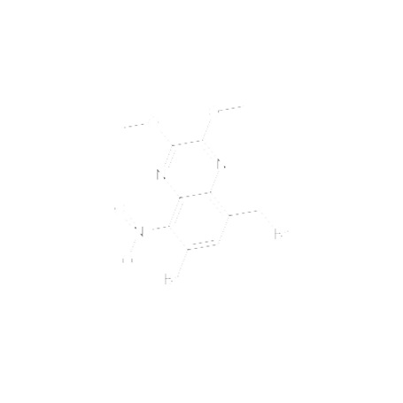 COc1nc2c(CBr)cc(Br)c([N+](=O)[O-])c2nc1OC